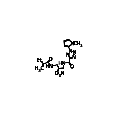 C=C(CC)C(=O)NCC(CNC(=O)c1nnn(-c2cccn2C)n1)[N+](=O)[O-]